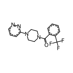 O=C(c1ccccc1C(F)(F)F)N1CCN(c2cccnn2)CC1